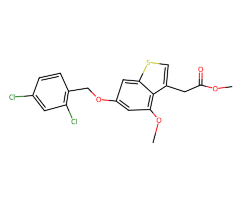 COC(=O)Cc1csc2cc(OCc3ccc(Cl)cc3Cl)cc(OC)c12